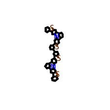 c1ccc2c(c1)sc1cc3c(cc12)c1cccc2c4cc5c(cc4n3c12)sc1ccc(-c2cccc3c2sc2cc4c6cccc7c8cc9sc%10ccccc%10c9cc8n(c4cc23)c76)cc15